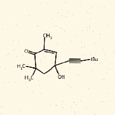 CC1=CC(O)(C#CC(C)(C)C)CC(C)(C)C1=O